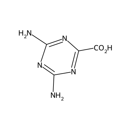 Nc1nc(N)nc(C(=O)O)n1